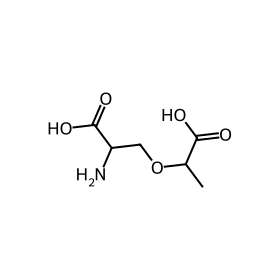 CC(OCC(N)C(=O)O)C(=O)O